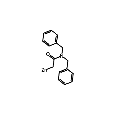 O=C([CH2][Zn])N(Cc1ccccc1)Cc1ccccc1